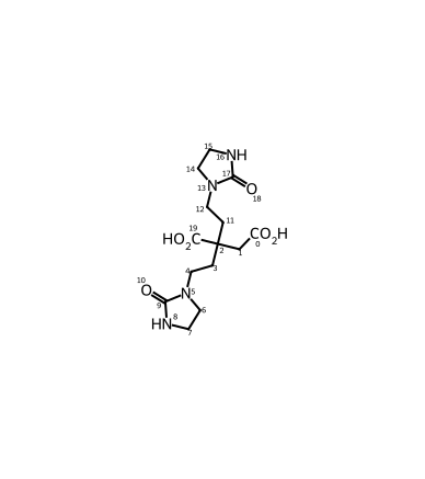 O=C(O)CC(CCN1CCNC1=O)(CCN1CCNC1=O)C(=O)O